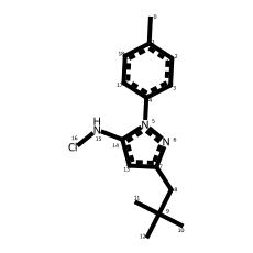 Cc1ccc(-n2nc(CC(C)(C)C)cc2NCl)cc1